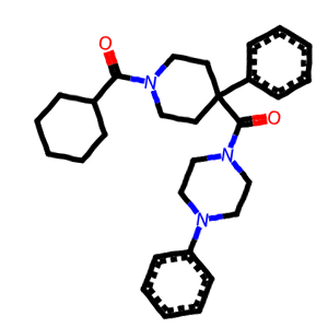 O=C(C1CCCCC1)N1CCC(C(=O)N2CCN(c3ccccc3)CC2)(c2ccccc2)CC1